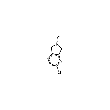 Clc1ccc2c(n1)CN(Cl)C2